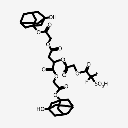 O=C(CC(OC(=O)COC(=O)C(F)(F)S(=O)(=O)O)C(=O)OCC(=O)OC12CC3CC(CC(O)(C3)C1)C2)OCC(=O)OC12CC3CC(CC(O)(C3)C1)C2